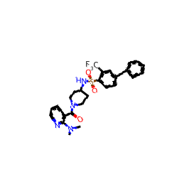 CN(C)c1ncccc1C(=O)N1CCC(NS(=O)(=O)c2ccc(-c3ccccc3)cc2C(F)(F)F)CC1